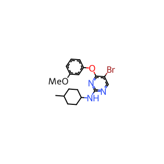 COc1cccc(Oc2nc(NC3CCC(C)CC3)ncc2Br)c1